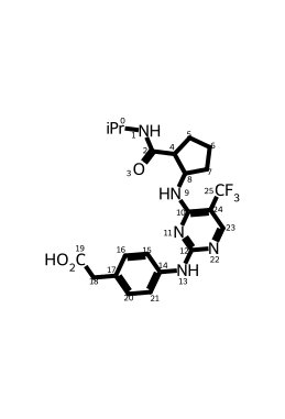 CC(C)NC(=O)C1CCCC1Nc1nc(Nc2ccc(CC(=O)O)cc2)ncc1C(F)(F)F